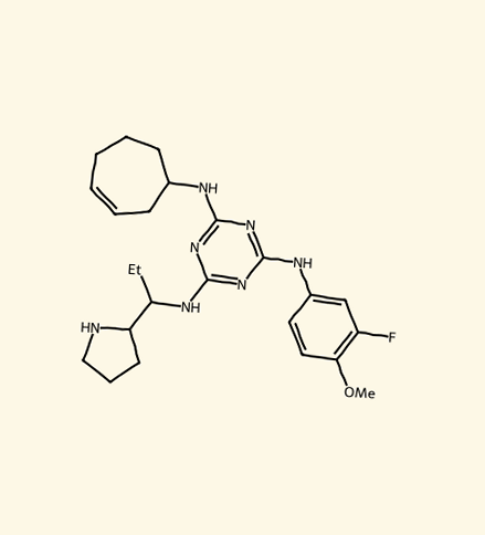 CCC(Nc1nc(Nc2ccc(OC)c(F)c2)nc(NC2CC=CCCC2)n1)C1CCCN1